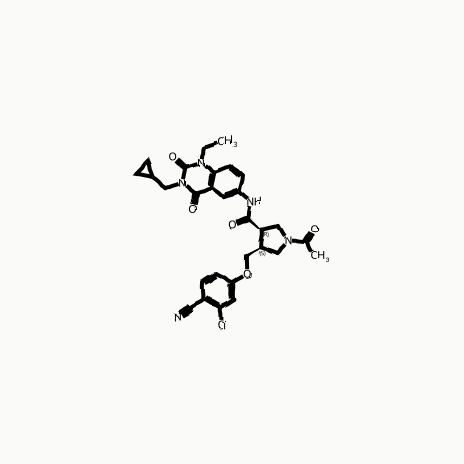 CCn1c(=O)n(CC2CC2)c(=O)c2cc(NC(=O)[C@H]3CN(C(C)=O)C[C@H]3COc3ccc(C#N)c(Cl)c3)ccc21